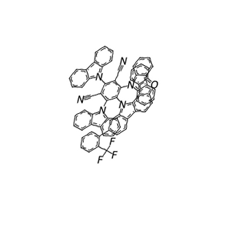 N#Cc1c(-n2c3ccccc3c3ccccc32)c(C#N)c(-n2c3ccccc3c3ccccc32)c(-n2c3cc(-c4ccccc4C(F)(F)F)ccc3c3ccc4oc5ccccc5c4c32)c1-n1c2ccccc2c2ccccc21